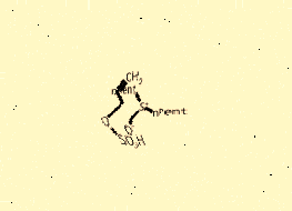 C=CCOS(=O)(=O)O.CCCCC[S+]([O-])CCCCC